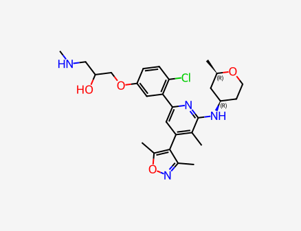 CNCC(O)COc1ccc(Cl)c(-c2cc(-c3c(C)noc3C)c(C)c(N[C@@H]3CCO[C@H](C)C3)n2)c1